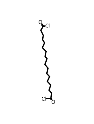 O=C(Cl)CCCCCCCCCCCCCCCCC(=O)Cl